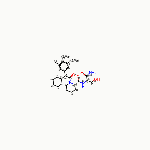 COc1cc([C@@H](C(=O)N2CCCC[C@H]2C(=O)N[C@H](CO)C(N)=O)C2CCCCC2)cc(C)c1OC